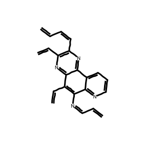 C=C/C=C\c1nc2c(nc1C=C)c(C=C)c(/N=C\C=C)c1ncccc12